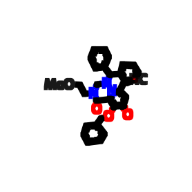 [C-]#[N+]Cc1cc(=O)c(OCc2ccccc2)c2n1N(C(c1ccccc1)c1ccccc1)CN(CCOC)C2=O